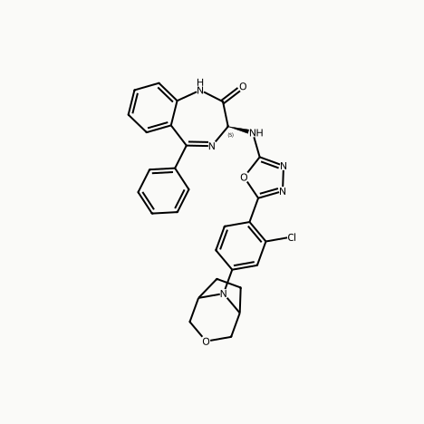 O=C1Nc2ccccc2C(c2ccccc2)=N[C@@H]1Nc1nnc(-c2ccc(N3C4CCC3COC4)cc2Cl)o1